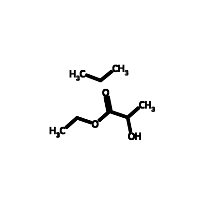 CCC.CCOC(=O)C(C)O